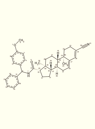 COc1ccc(C(NC(=O)[C@H]2CC[C@H]3[C@@H]4CC=C5C=C(C#N)CC[C@]5(C)[C@H]4CC[C@]23C)c2ccccc2)cc1